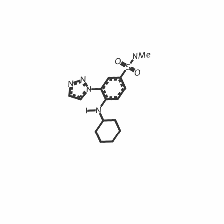 CNS(=O)(=O)c1ccc(N(I)C2CCCCC2)c(-n2ccnn2)c1